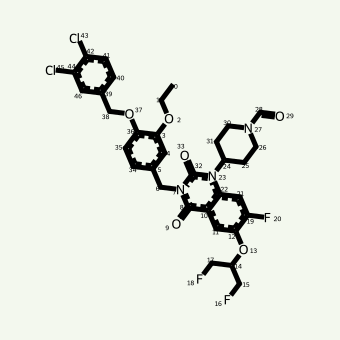 CCOc1cc(Cn2c(=O)c3cc(OC(CF)CF)c(F)cc3n(C3CCN(C=O)CC3)c2=O)ccc1OCc1ccc(Cl)c(Cl)c1